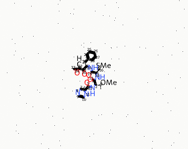 COC[C@H](NC(=O)c1cnccn1)C(=O)N[C@H](CSC)C(=O)N[C@@H](Cc1ccccc1)C(=O)[C@@]1(C)CO1